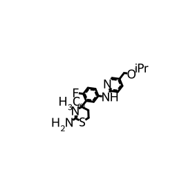 CC(C)OCc1ccc(Nc2ccc(F)c([C@]3(C)CCSC(N)=N3)c2)nc1